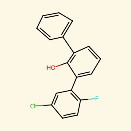 Oc1c(-c2ccccc2)cccc1-c1cc(Cl)ccc1F